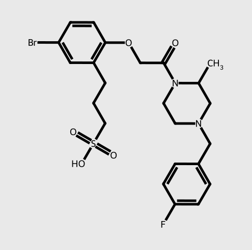 CC1CN(Cc2ccc(F)cc2)CCN1C(=O)COc1ccc(Br)cc1CCCS(=O)(=O)O